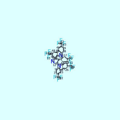 FC(F)(F)c1ccc(-c2ccncc2-n2c3ccc(C(F)(F)F)cc3c3cc(C(F)(F)F)ccc32)c(-n2c3ccc(C(F)(F)F)cc3c3cc(C(F)(F)F)ccc32)c1